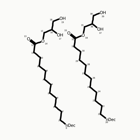 CCCCCCCCCCCCCCCCCCCCCC(=O)OCC(O)CO.CCCCCCCCCCCCCCCCCCCCCC(=O)OCC(O)CO